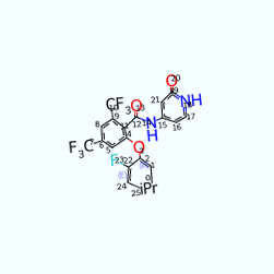 C/C=C(Oc1cc(C(F)(F)F)cc(C(F)(F)F)c1C(=O)Nc1cc[nH]c(=O)c1)\C(F)=C/C(C)C